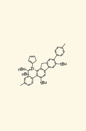 CCCC[C](CCCC)=[Zr]([C]1=CC=CC1)[c]1c2c(cc(C(C)(C)C)c1-c1ccc(C)cc1)-c1cc(C(C)(C)C)c(-c3ccc(C)cc3)cc1C2